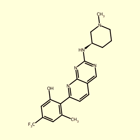 Cc1cc(C(F)(F)F)cc(O)c1-c1ccc2cnc(N[C@@H]3CCCN(C)C3)nc2n1